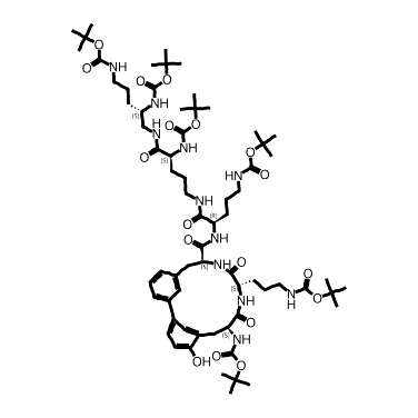 CC(C)(C)OC(=O)NCCC[C@@H](CNC(=O)[C@H](CCCNC(=O)[C@@H](CCCNC(=O)OC(C)(C)C)NC(=O)[C@@H]1Cc2cccc(c2)-c2ccc(O)c(c2)C[C@H](NC(=O)OC(C)(C)C)C(=O)N[C@@H](CCCNC(=O)OC(C)(C)C)C(=O)N1)NC(=O)OC(C)(C)C)NC(=O)OC(C)(C)C